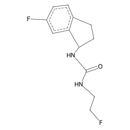 O=C(NCCF)NC1CCc2ccc(F)cc21